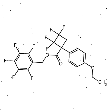 CCOc1ccc(C2(C(=O)OCc3c(F)c(F)c(F)c(F)c3F)CC(F)(F)C2(F)F)cc1